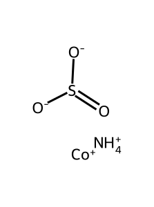 O=S([O-])[O-].[Co+].[NH4+]